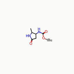 CC1NC(=O)CC1NC(=O)OC(C)(C)C